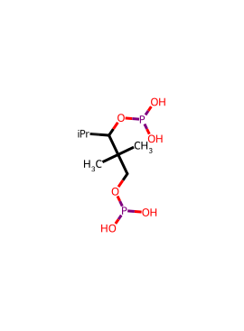 CC(C)C(OP(O)O)C(C)(C)COP(O)O